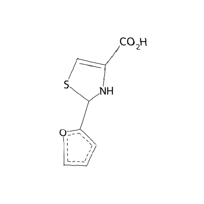 O=C(O)C1=CSC(c2ccco2)N1